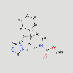 CCCCOC(=O)N1CCC(Cn2cncn2)(C2CCCCC2)CC1